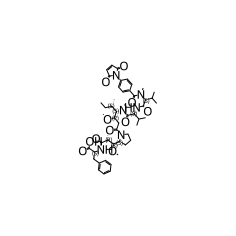 CC[C@H](C)[C@@H]([C@@H](CC(=O)N1CCC[C@H]1[C@H](OC)[C@@H](C)C(=O)N[C@@H](Cc1ccccc1)C(=O)O)OC)N(C)C(=O)[C@@H](NC(=O)[C@H](C(C)C)N(C)C(=O)c1ccc(N2C(=O)C=CC2=O)cc1)C(C)C